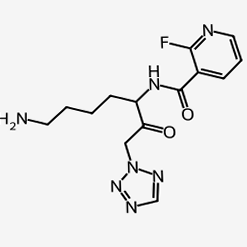 NCCCCC(NC(=O)c1cccnc1F)C(=O)Cn1ncnn1